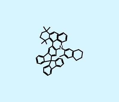 Cc1cc2c(cc1N(c1ccccc1)c1cc3c(cc1-c1cccc4c1C(C)(C)CCC4(C)C)-c1ccccc1C31c3ccccc3-c3ccccc31)CCCC2